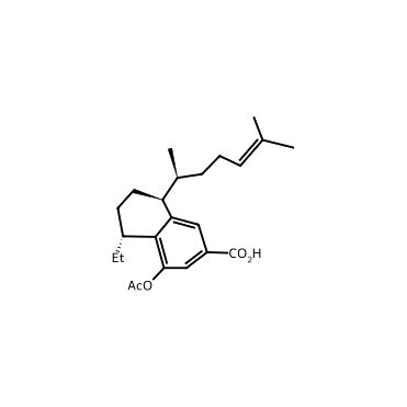 CC[C@@H]1CC[C@@H]([C@@H](C)CCC=C(C)C)c2cc(C(=O)O)cc(OC(C)=O)c21